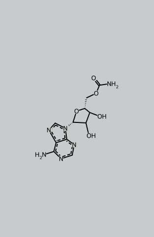 NC(=O)OC[C@H]1O[C@@H](n2cnc3c(N)ncnc32)C(O)C1O